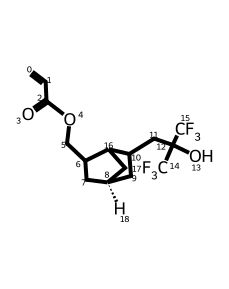 C=CC(=O)OCC1C[C@@H]2CC(CC(O)(C(F)(F)F)C(F)(F)F)C1C2